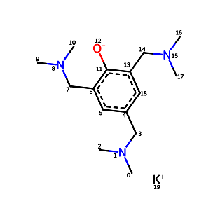 CN(C)Cc1cc(CN(C)C)c([O-])c(CN(C)C)c1.[K+]